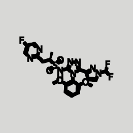 COc1cccc(OC)c1-n1c(NS(=O)(=O)[C@H](C)Cc2ncc(F)cn2)nnc1-c1ccn(C(F)F)n1